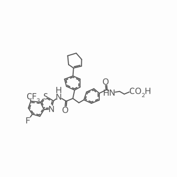 O=C(O)CCNC(=O)c1ccc(CC(C(=O)Nc2nc3cc(F)cc(C(F)(F)F)c3s2)c2ccc(C3=CCCCC3)cc2)cc1